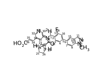 [2H]C(c1ccc(-c2ccc3c(cnn3C)c2)cc1F)N(C(=O)[C@@H]1C[C@@H]2CC[C@H]1C2)c1cncc(/C=C/C(=O)O)c1